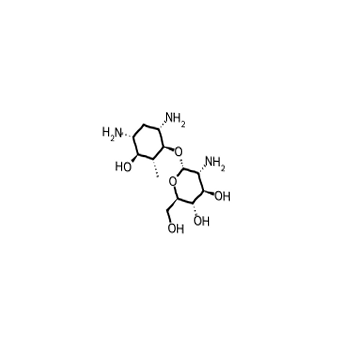 C[C@@H]1[C@@H](O)[C@H](N)C[C@H](N)[C@H]1O[C@H]1O[C@H](CO)[C@@H](O)[C@H](O)[C@H]1N